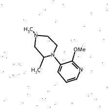 COc1ncccc1N1CCN(C)CC1C